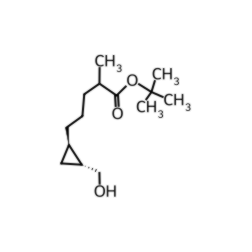 CC(CCC[C@@H]1C[C@H]1CO)C(=O)OC(C)(C)C